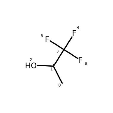 C[C](O)C(F)(F)F